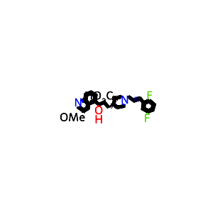 COc1cnc2cccc(C(O)CC[C@@H]3CCN(C/C=C/c4cc(F)ccc4F)C[C@@H]3C(=O)O)c2c1